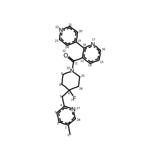 Cc1ccc(CC2(F)CCN(C(=O)c3cccnc3-c3ccncc3)CC2)nc1